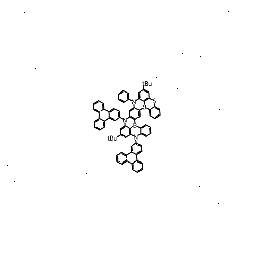 CC(C)(C)c1cc2c3c(c1)N(c1ccccc1)c1cc4c(cc1B3c1ccccc1S2)B1c2ccccc2N(c2ccc3c5ccccc5c5ccccc5c3c2)c2cc(C(C)(C)C)cc(c21)N4c1ccc2c3ccccc3c3ccccc3c2c1